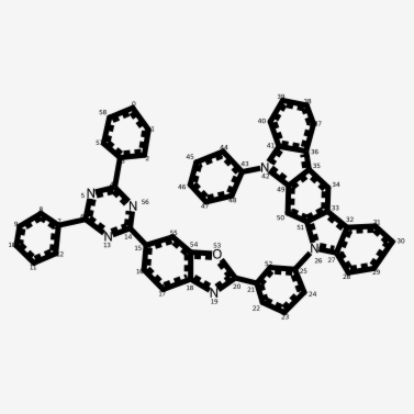 c1ccc(-c2nc(-c3ccccc3)nc(-c3ccc4nc(-c5cccc(-n6c7ccccc7c7cc8c9ccccc9n(-c9ccccc9)c8cc76)c5)oc4c3)n2)cc1